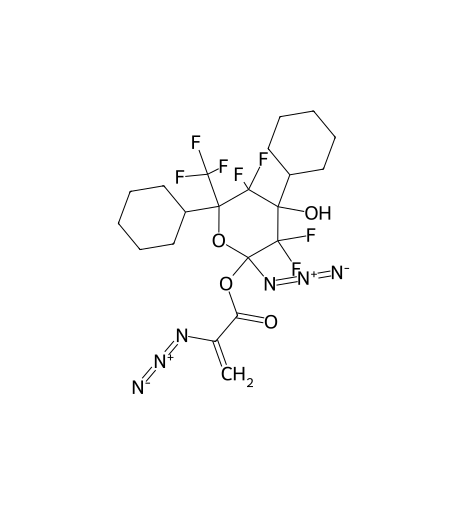 C=C(N=[N+]=[N-])C(=O)OC1(N=[N+]=[N-])OC(C2CCCCC2)(C(F)(F)F)C(F)(F)C(O)(C2CCCCC2)C1(F)F